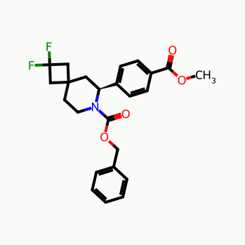 COC(=O)c1ccc([C@@H]2CC3(CCN2C(=O)OCc2ccccc2)CC(F)(F)C3)cc1